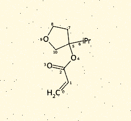 C=CC(=O)OC1(C(C)C)CCOC1